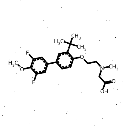 COc1c(F)cc(-c2ccc(OCCN(C)CC(=O)O)c(C(C)(C)C)c2)cc1F